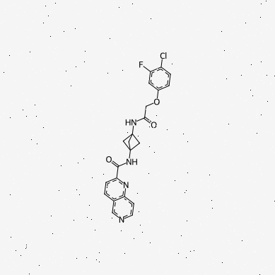 O=C(COc1ccc(Cl)c(F)c1)NC12CC(NC(=O)c3ccc4cnccc4n3)(C1)C2